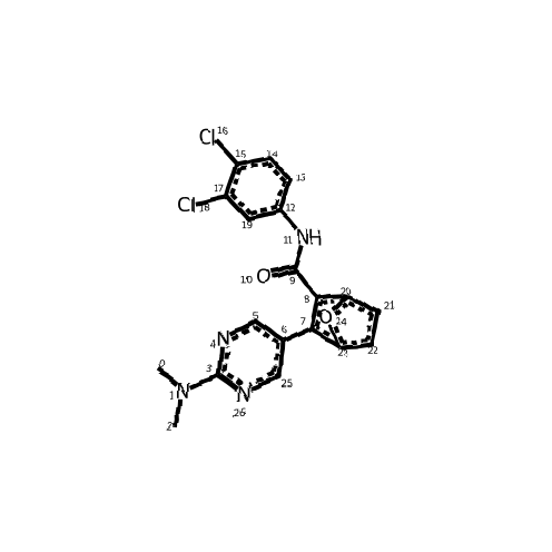 CN(C)c1ncc(-c2c(C(=O)Nc3ccc(Cl)c(Cl)c3)c3ccc2o3)cn1